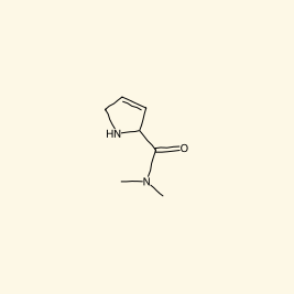 CN(C)C(=O)C1C=CCN1